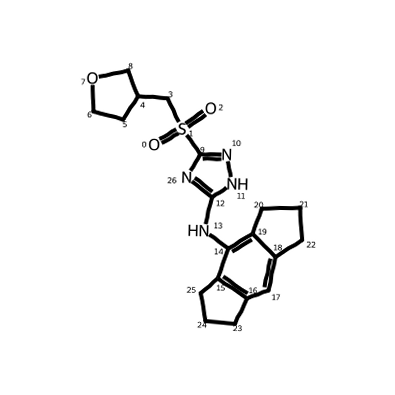 O=S(=O)(CC1CCOC1)c1n[nH]c(Nc2c3c(cc4c2CCC4)CCC3)n1